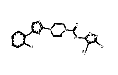 Cc1noc(NC(=O)N2CCN(c3nc(-c4ccccc4Cl)cs3)CC2)c1C